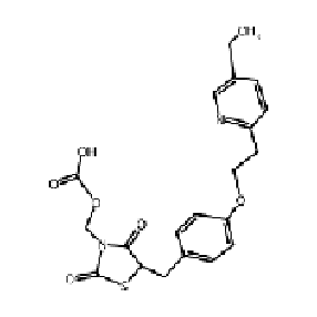 CCc1ccc(CCOc2ccc(CC3SC(=O)N(COC(=O)O)C3=O)cc2)nc1